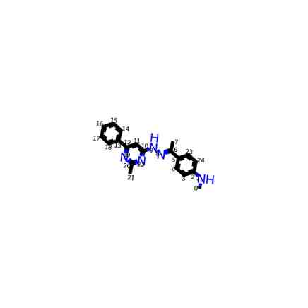 CNc1ccc(C(C)=NNc2cc(-c3ccccc3)nc(C)n2)cc1